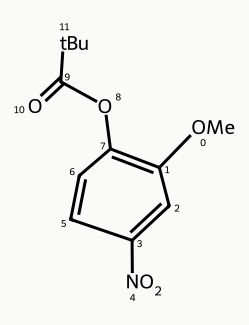 COc1cc([N+](=O)[O-])ccc1OC(=O)C(C)(C)C